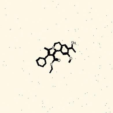 CCOC(=O)c1c(C2CCCCC2)c(C)n2c1-c1cc(OC)c(C(C)O)cc1CC2